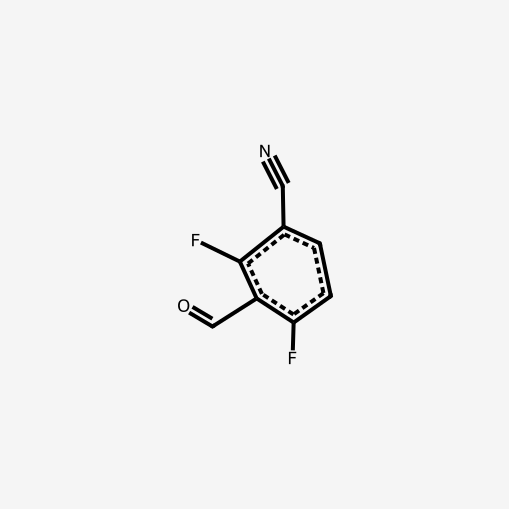 N#Cc1ccc(F)c(C=O)c1F